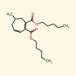 CCCCCOC(=O)C1=C(C(=O)OCCCCC)CC(C)CC=C1